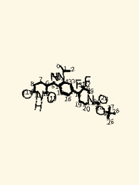 CC(C)n1nc(C2CCC(=O)NC2=O)c2ccc(C3CCN(C(=O)OC(C)(C)C)CC3(F)F)cc21